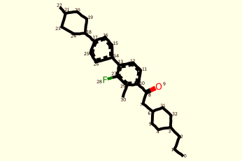 CCCC1CCC(CC(=O)c2ccc(-c3ccc(C4CCC(C)CC4)cc3)c(F)c2C)CC1